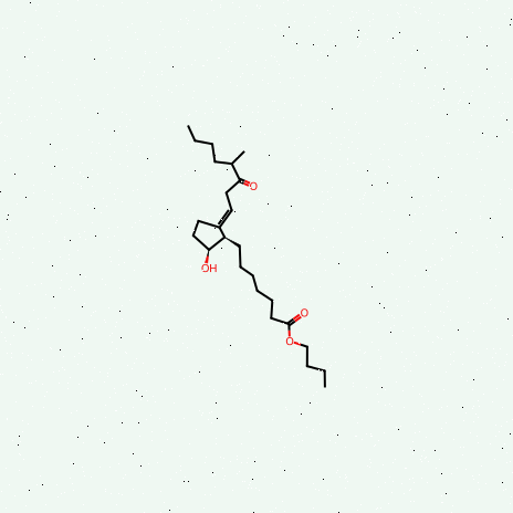 CCCCOC(=O)CCCCCC[C@@H]1C(=CCC(=O)C(C)CCCC)CC[C@@H]1O